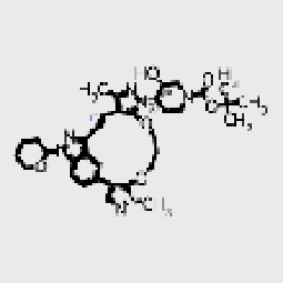 Cc1nn([C@H]2CCN(C(=O)OC(C)(C)C)C[C@@H]2O)c2c1/C=C/c1nn(C3CCCCO3)c3ccc(cc13)-c1cnn(C)c1OCCCO2